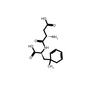 CC1(C[C@H](NC(=O)[C@@H](N)CC(=O)O)C(=O)O)C=CC=CC1